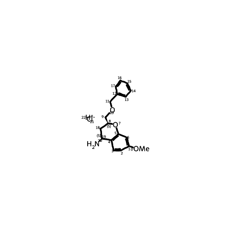 COc1ccc2c(c1)O[C@H](COCc1ccccc1)C[C@@H]2N.[Cl-].[H+]